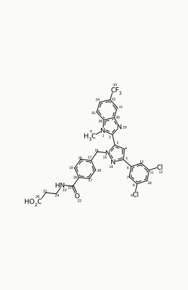 Cn1c(-c2cc(-c3cc(Cl)cc(Cl)c3)nn2Cc2ccc(C(=O)NCCC(=O)O)cc2)nc2cc(C(F)(F)F)ccc21